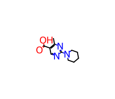 Cc1nc(N2CCCCC2)ncc1C(=O)O